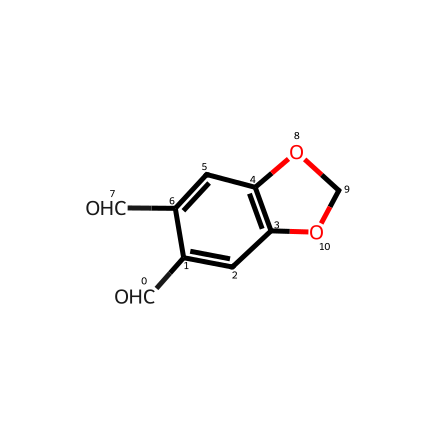 O=Cc1cc2c(cc1C=O)OCO2